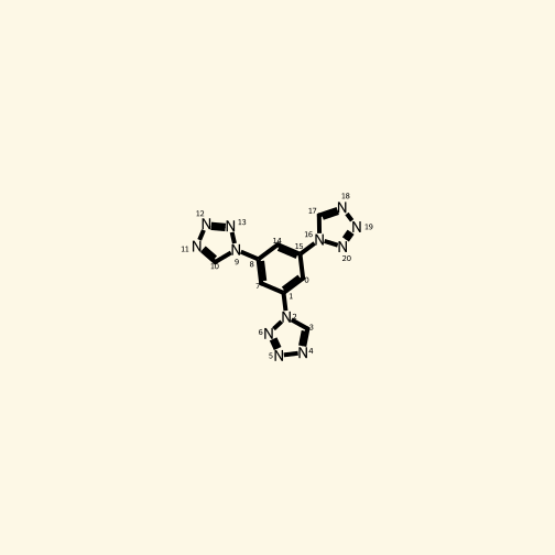 c1c(-n2cnnn2)cc(-n2cnnn2)cc1-n1cnnn1